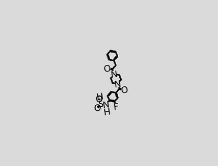 O=C(Cc1ccccc1)N1CCN(C(=O)c2ccc(N[SH](=O)=O)c(F)c2)CC1